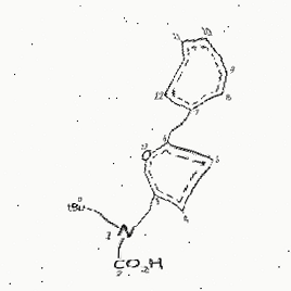 CC(C)(C)N(C(=O)O)c1ccc(-c2ccccc2)o1